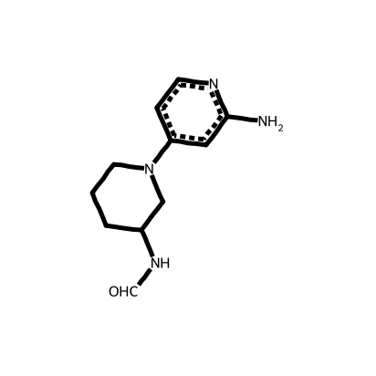 Nc1cc(N2CCCC(NC=O)C2)ccn1